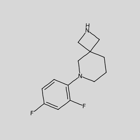 Fc1ccc(N2CCCC3(CNC3)C2)c(F)c1